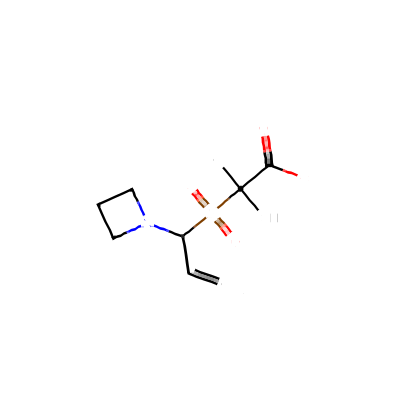 C=CC(N1CCC1)S(=O)(=O)C(C)(C)C(=O)O